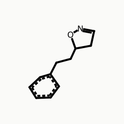 C1=NOC(CCc2ccccc2)C1